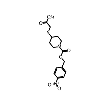 O=C(O)CSC1CCN(C(=O)OCc2ccc([N+](=O)[O-])cc2)CC1